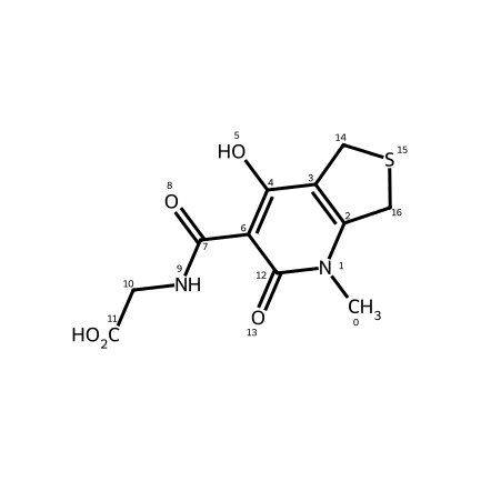 Cn1c2c(c(O)c(C(=O)NCC(=O)O)c1=O)CSC2